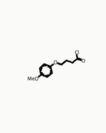 COc1ccc(OCCCC(=O)Cl)cc1